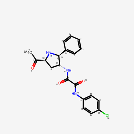 COC(=O)[C@@H]1C[C@@H](NC(=O)C(=O)Nc2ccc(Cl)cc2)[C@H](c2ccccc2)N1